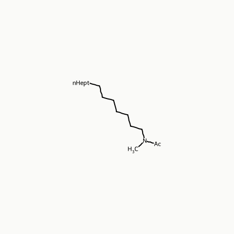 CCCCCCCCCCCCCCN(C)C(C)=O